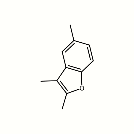 Cc1ccc2oc(C)c(C)c2c1